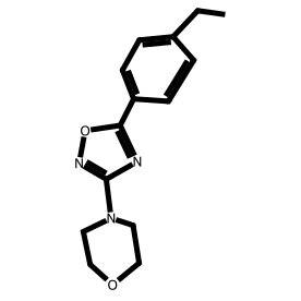 CCc1ccc(-c2nc(N3CCOCC3)no2)cc1